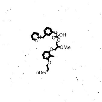 CCCCCCCCCCCCOc1cccc(OCC(COP(=O)(O)Oc2cccc(C[n+]3ccccn3)c2)OC)c1C